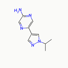 CC(C)n1cc(-c2cnc(N)cn2)cn1